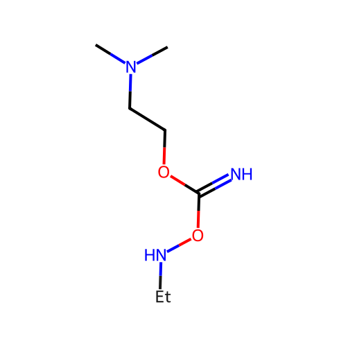 CCNOC(=N)OCCN(C)C